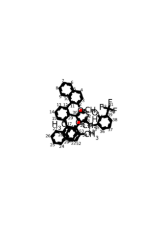 COc1ccc2ccccc2c1-c1cccc(-c2c(OC)ccc3ccccc23)c1-c1csc(Pc2cccc(C(F)(F)F)c2O)c1-c1c(C)cccc1C